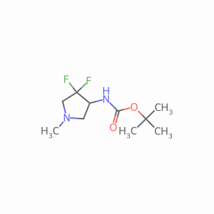 CN1CC(NC(=O)OC(C)(C)C)C(F)(F)C1